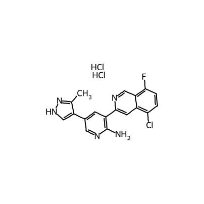 Cc1n[nH]cc1-c1cnc(N)c(-c2cc3c(Cl)ccc(F)c3cn2)c1.Cl.Cl